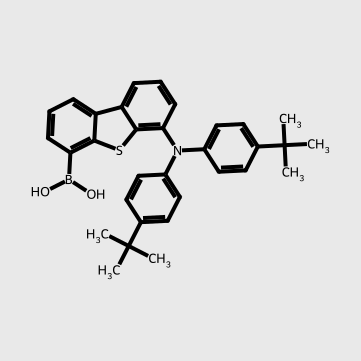 CC(C)(C)c1ccc(N(c2ccc(C(C)(C)C)cc2)c2cccc3c2sc2c(B(O)O)cccc23)cc1